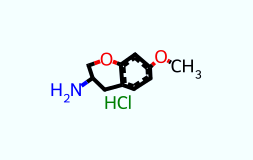 COc1ccc2c(c1)OCC(N)C2.Cl